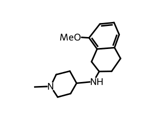 COc1cccc2c1CC(NC1CCN(C)CC1)CC2